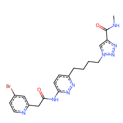 CNC(=O)c1cn(CCCCc2ccc(NC(=O)Cc3cc(Br)ccn3)nn2)nn1